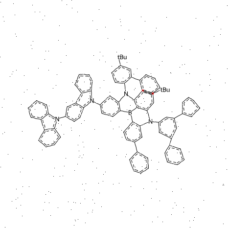 CC(C)(C)c1ccc(N2c3cc(-n4c5ccccc5c5cc(-n6c7ccccc7c7ccccc76)ccc54)ccc3B3c4ccc(-c5ccccc5)cc4N(c4cc(-c5ccccc5)cc(-c5ccccc5)c4)c4cc(C(C)(C)C)cc2c43)c(-c2ccccc2)c1